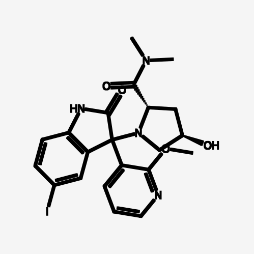 COc1ncccc1C1(N2C[C@H](O)C[C@H]2C(=O)N(C)C)C(=O)Nc2ccc(I)cc21